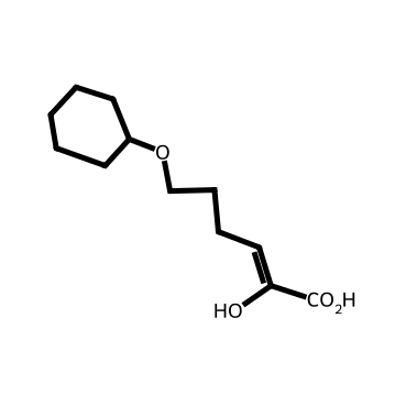 O=C(O)C(O)=CCCCOC1CCCCC1